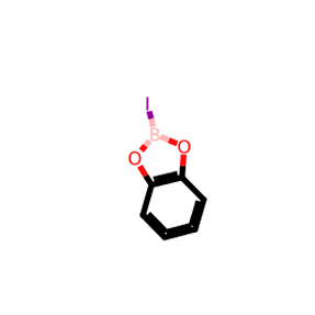 IB1OC2=C(C=C=C=C2)O1